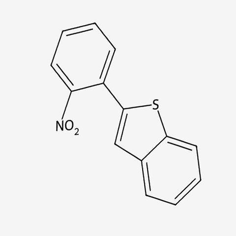 O=[N+]([O-])c1ccccc1-c1cc2ccccc2s1